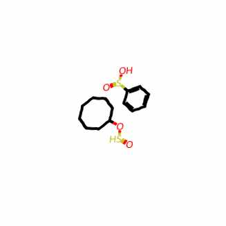 O=S(O)c1ccccc1.O=[SH]OC1CCCCCCC1